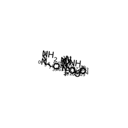 CN(CCN)CCC[C@H]1CC[C@H](c2nc(-c3ccc(Oc4ccccc4)cc3F)c3c(N)ncnn32)CC1